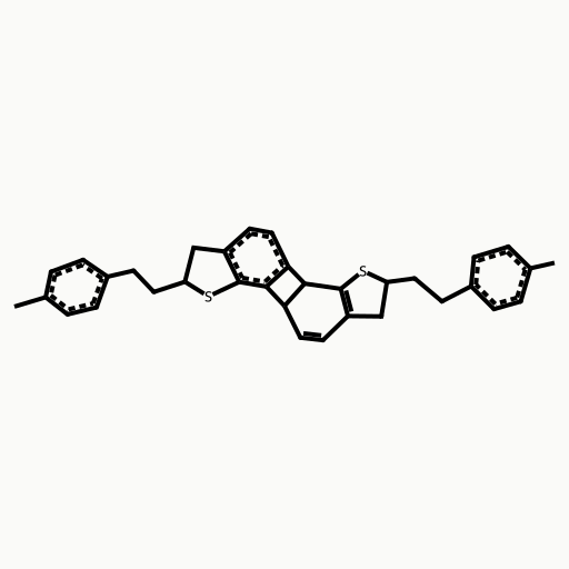 Cc1ccc(CCC2CC3=C(S2)C2c4ccc5c(c4C2C=C3)SC(CCc2ccc(C)cc2)C5)cc1